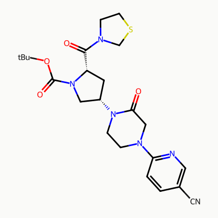 CC(C)(C)OC(=O)N1C[C@@H](N2CCN(c3ccc(C#N)cn3)CC2=O)C[C@H]1C(=O)N1CCSC1